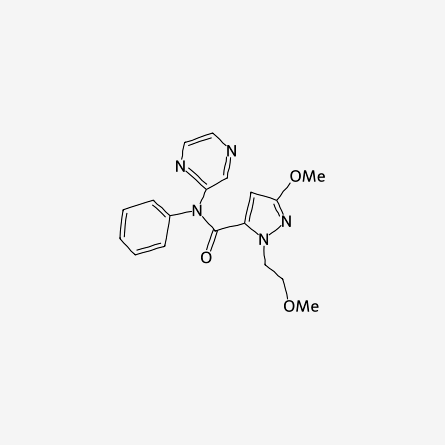 COCCn1nc(OC)cc1C(=O)N(c1ccccc1)c1cnccn1